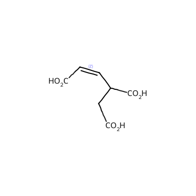 O=C(O)/C=C\C(CC(=O)O)C(=O)O